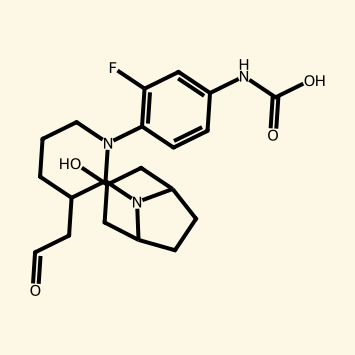 O=CCC1CCCN(c2ccc(NC(=O)O)cc2F)C1N1C2CCC1CC(O)C2